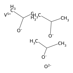 CC(C)[O-].CC(C)[O-].CC(C)[O-].[O-2].[V+5]